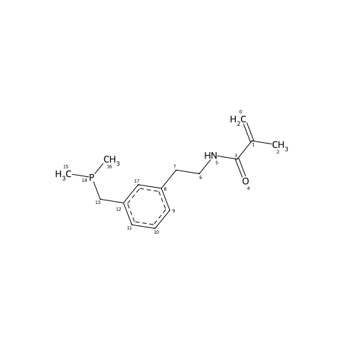 C=C(C)C(=O)NCCc1cccc(CP(C)C)c1